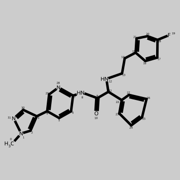 Cn1cc(-c2ccc(NC(=O)C(NCCc3ccc(F)cc3)c3ccccc3)nc2)cn1